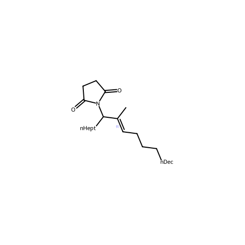 CCCCCCCCCCCCC/C=C(\C)C(CCCCCCC)N1C(=O)CCC1=O